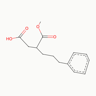 COC(=O)C(CCCc1ccccc1)CC(=O)O